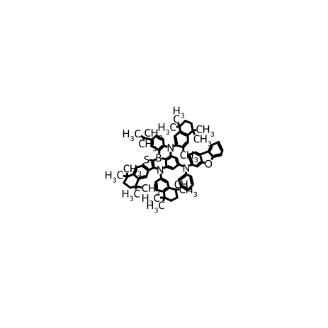 Cc1cc2c(cc1N1c3ccc(C(C)(C)C)cc3B3c4sc5cc6c(cc5c4N(c4ccc5c(c4)C(C)(C)CCC5(C)C)c4cc(N(c5ccccc5)c5ccc7c(c5)oc5ccccc57)cc1c43)C(C)(C)CCC6(C)C)C(C)(C)CCC2(C)C